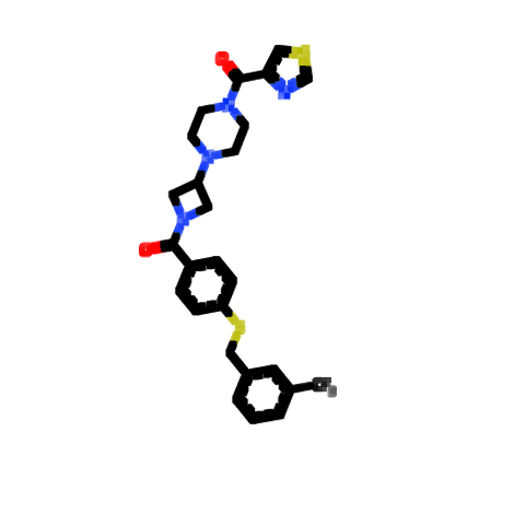 O=C(c1ccc(SCc2cccc(C(F)(F)F)c2)cc1)N1CC(N2CCN(C(=O)c3cscn3)CC2)C1